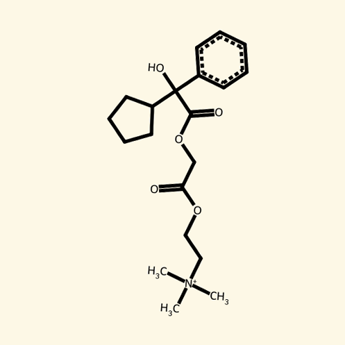 C[N+](C)(C)CCOC(=O)COC(=O)C(O)(c1ccccc1)C1CCCC1